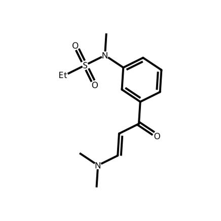 CCS(=O)(=O)N(C)c1cccc(C(=O)C=CN(C)C)c1